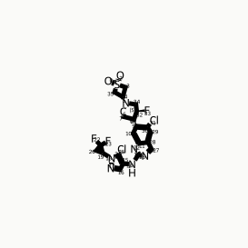 O=S1(=O)CC(N2CC[C@@H](c3cc4nc(Nc5cnn(C6CC6(F)F)c5Cl)ncc4cc3Cl)[C@H](F)C2)C1